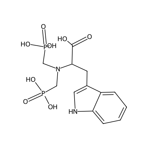 O=C(O)C(Cc1c[nH]c2ccccc12)N(CP(=O)(O)O)CP(=O)(O)O